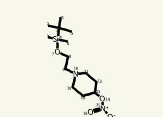 CC(C)(C)[Si](C)(C)OCCN1CCC(O[N+](=O)[O-])CC1